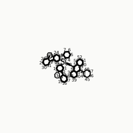 C(#C[Si](c1ccccc1)(c1ccc2oc3ccccc3c2c1)c1ccc2oc3ccccc3c2c1)c1c2ccccc2c(C2CCCCC2)c2ccccc12